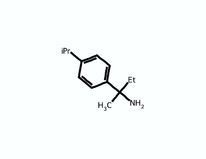 CCC(C)(N)c1ccc(C(C)C)cc1